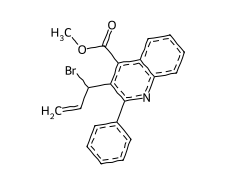 C=CC(Br)c1c(-c2ccccc2)nc2ccccc2c1C(=O)OC